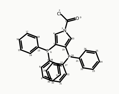 O=C(Cl)n1cc(P(c2ccccc2)c2ccccc2)c(P(c2ccccc2)c2ccccc2)c1